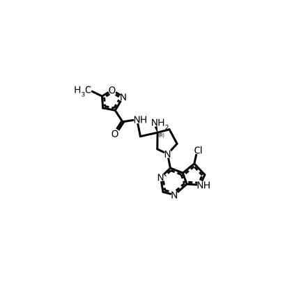 Cc1cc(C(=O)NC[C@]2(N)CCN(c3ncnc4[nH]cc(Cl)c34)C2)no1